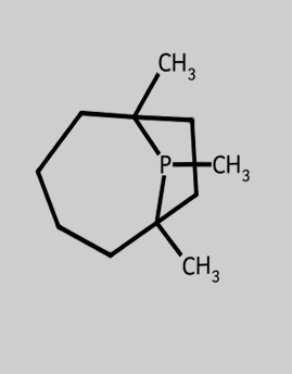 CP1C2(C)CCCCC1(C)CC2